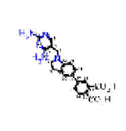 Nc1ncc(CN2CCc3cc(-c4ccc(C(=O)O)c(C(=O)O)c4)ccc32)c(N)n1